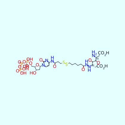 N[C@@H](CC(=O)O)C(=O)C(=O)[C@H](CC(=O)O)NNC(=O)CCCCCSSCCC(=O)Nc1ccn(C2CC(O)C(COP(=O)(O)OP(=O)(O)OP(=O)(O)O)O2)c(=O)n1